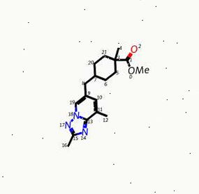 COC(=O)C1(C)CCC(Cc2cc(C)c3nc(C)nn3c2)CC1